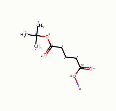 CC(C)(C)OC(=O)CCCC(=O)OI